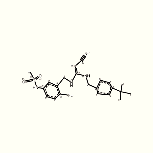 CC(C)(C)c1ccc(CN/C(=N\C#N)NCc2cc(NS(C)(=O)=O)ccc2F)cc1